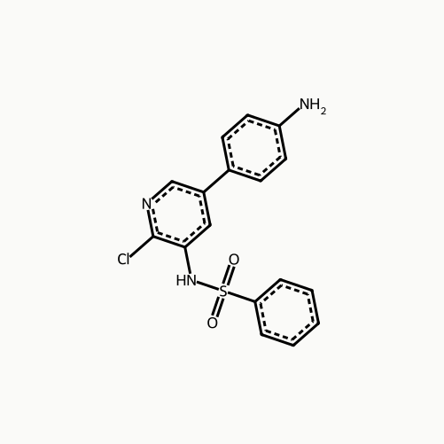 Nc1ccc(-c2cnc(Cl)c(NS(=O)(=O)c3ccccc3)c2)cc1